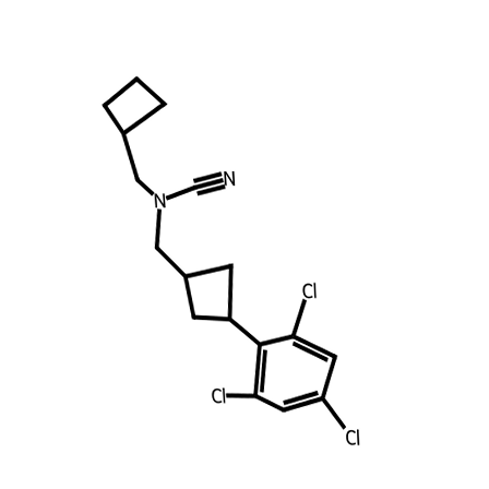 N#CN(CC1CCC1)CC1CC(c2c(Cl)cc(Cl)cc2Cl)C1